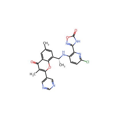 Cc1cc([C@@H](C)Nc2ccc(Cl)nc2-c2noc(=O)[nH]2)c2oc(-c3cncnc3)c(C)c(=O)c2c1